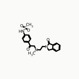 CN(CCN1Cc2ccccc2C1=O)CC(=O)c1ccc(NS(C)(=O)=O)cc1